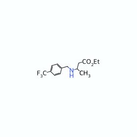 CCOC(=O)CC(C)NCc1ccc(C(F)(F)F)cc1